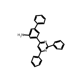 Nc1cc(-c2ccccc2)cc(-c2cc(-c3ccccc3)nc(-c3ccccc3)n2)c1